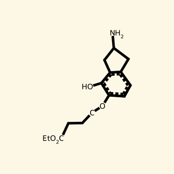 CCOC(=O)CCCOc1ccc2c(c1O)CC(N)C2